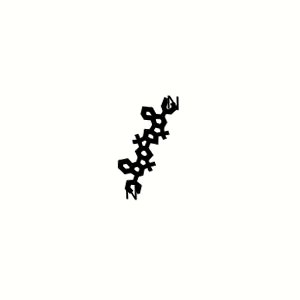 CC1(C)c2cc3c(cc2-c2cc4c(cc21)-c1c(cc(-c2ccncc2)c2ccccc12)C4(C)C)C(C)(C)c1cc(-c2ccncc2)c2ccccc2c1-3